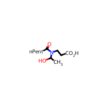 CCCCCC(=O)N(CCC(=O)O)C(C)O